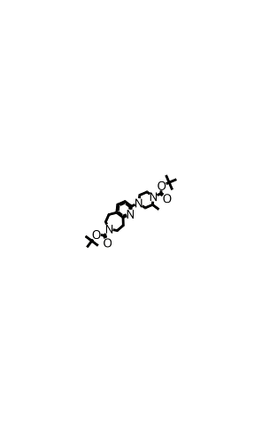 CC1CN(c2ccc3c(n2)CCN(C(=O)OC(C)(C)C)CC3)CCN1C(=O)OC(C)(C)C